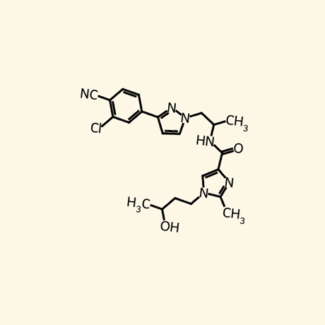 Cc1nc(C(=O)NC(C)Cn2ccc(-c3ccc(C#N)c(Cl)c3)n2)cn1CCC(C)O